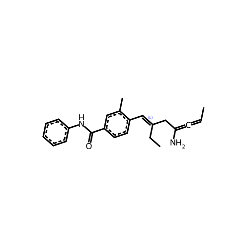 CC=C=C(N)C/C(=C/c1ccc(C(=O)Nc2ccccc2)cc1C)CC